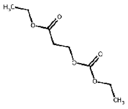 CCOC(=O)CCOC(=O)OCC